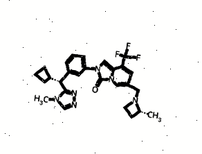 C[C@@H]1CCN1Cc1cc(C(F)(F)F)c2cn(-c3cccc([C@H](c4nncn4C)C4CCC4)c3)c(=O)n2c1